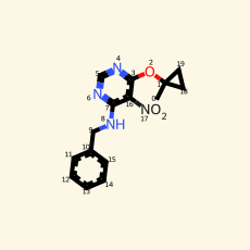 CC1(Oc2ncnc(NCc3ccccc3)c2[N+](=O)[O-])CC1